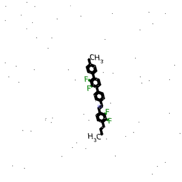 CCCCc1ccc(/C=C/c2ccc(-c3ccc(-c4ccc(CC)cc4)c(F)c3F)cc2)c(F)c1F